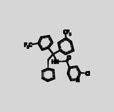 O=C(NC(Cc1ccccc1)(c1cccc(C(F)(F)F)c1)c1cccc(C(F)(F)F)c1)c1ccnc(Cl)c1